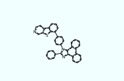 c1ccc(-c2nc3c4ccccc4c4ccccc4c3n2-c2ccc(-c3cccc4c3sc3cnccc34)cc2)cc1